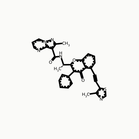 Cc1ncsc1C#Cc1cccc2oc([C@H](C)NC(=O)c3c(C)nn4cccnc34)c(-c3ccccc3)c(=O)c12